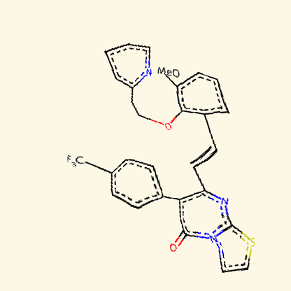 COc1cccc(C=Cc2nc3sccn3c(=O)c2-c2ccc(C(F)(F)F)cc2)c1OCc1ccccn1